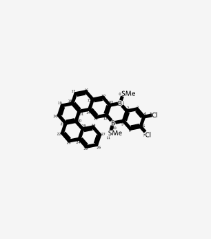 CSB1c2cc(Cl)c(Cl)cc2B(SC)c2cc3c(ccc4ccc5ccc6ccccc6c5c43)cc21